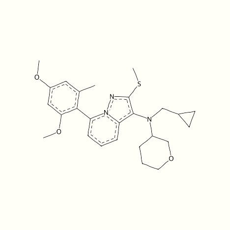 COc1cc(C)c(-c2cccc3c(N(CC4CC4)C4CCCOC4)c(SC)nn23)c(OC)c1